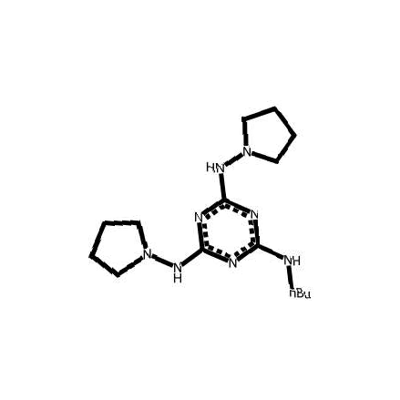 CCCCNc1nc(NN2CCCC2)nc(NN2CCCC2)n1